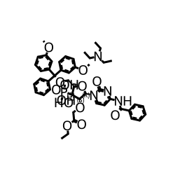 CCN(CC)CC.CCOC(=O)CO[C@H]1[C@H](n2ccc(NC(=O)c3ccccc3)nc2=O)O[C@H](COC(c2ccccc2)(c2cccc(OC)c2)c2cccc(OC)c2)[C@]1(O)P(=O)(O)O